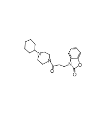 O=C(CCn1c(=O)oc2ccccc21)N1CCN(C2CCCCC2)CC1